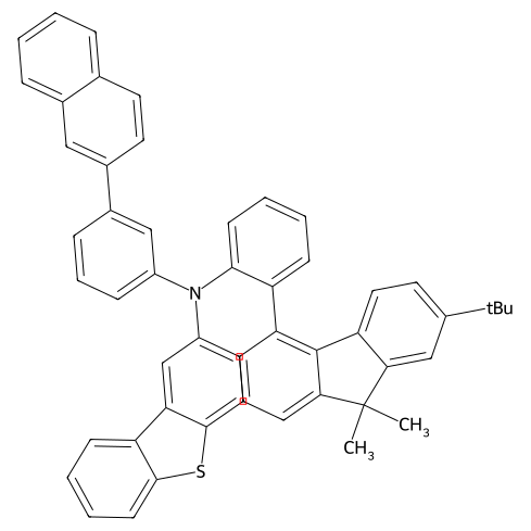 CC(C)(C)c1ccc2c(c1)C(C)(C)c1cccc(-c3ccccc3N(c3cccc(-c4ccc5ccccc5c4)c3)c3ccc4sc5ccccc5c4c3)c1-2